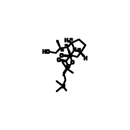 C[C@H](CO)[C@H]1[C@@H]2CC[C@H](CN1C(=O)OCC[Si](C)(C)C)N2C(=O)OC(C)(C)C